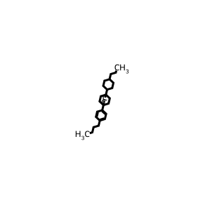 CCCCc1ccc(C23CCC(C4CCC(CCC)CC4)(CC2)CC3)cc1